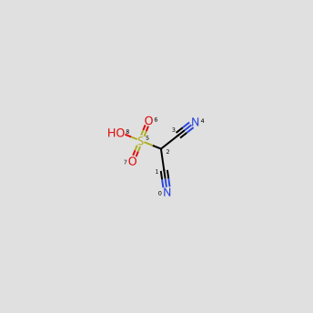 N#CC(C#N)S(=O)(=O)O